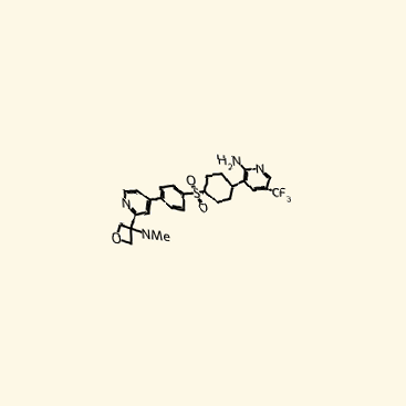 CNC1(c2cc(-c3ccc(S(=O)(=O)C4CCC(c5cc(C(F)(F)F)cnc5N)CC4)cc3)ccn2)COC1